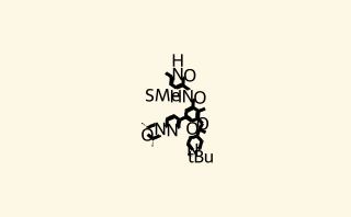 CSc1cc(C)[nH]c(=O)c1CNC(=O)c1cc(-c2ccc(N3C[C@@H](C)O[C@@H](C)C3)nc2)c2c(c1C)OC(C)(C1CCN(C(C)(C)C)CC1)O2